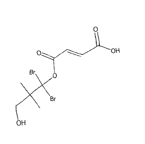 CC(C)(CO)C(Br)(Br)OC(=O)/C=C/C(=O)O